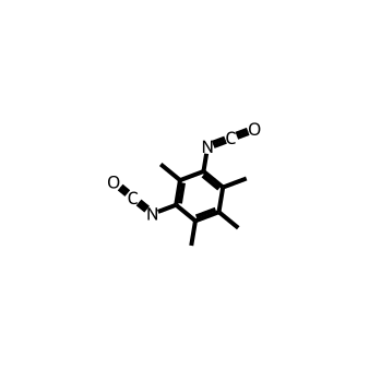 Cc1c(C)c(N=C=O)c(C)c(N=C=O)c1C